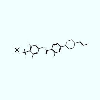 C/C=C/C1CCC(c2ccc(C(=O)Oc3cc(F)c(C(F)(F)OC(F)(F)F)c(F)c3)c(F)c2)OC1